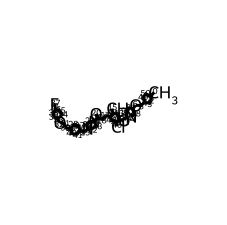 Cc1ccc(COc2ccc(Oc3cc(C)c(C=CC(=O)N4CCN(Cc5ccc(CCOc6ccc(F)cc6)cc5)CC4)cc3Cl)nc2)cc1